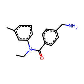 CCN(C(=O)c1ccc(CN)cc1)c1cccc(C)c1